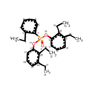 CCc1ccccc1P(=O)(Oc1cccc(CC)c1CC)Oc1cccc(CC)c1CC